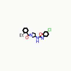 CCc1ccccc1C(=O)N1CCC(Nc2nc3ccc(Cl)cc3o2)C1